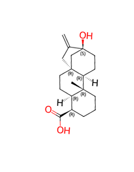 C=C1C[C@@]23CC[C@@H]4[C@H](C(=O)O)CCC[C@@]4(C)[C@@H]2CC[C@]1(O)C3